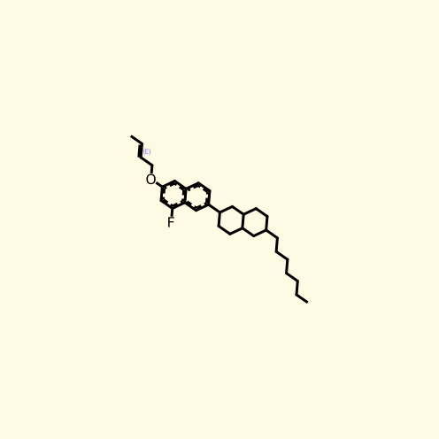 C/C=C/COc1cc(F)c2cc(C3CCC4CC(CCCCCCC)CCC4C3)ccc2c1